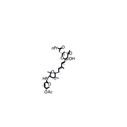 CCCC(=O)C[C@@H]1C[C@@]2(CO2)[C@H](O)[C@@H](/C=C/C(C)=C/C[C@@H]2O[C@H](C)[C@H](NC(=O)/C=C\[C@H](C)OC(C)=O)C[C@@H]2C)O1